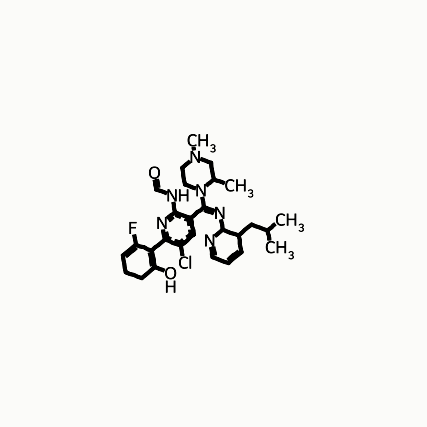 CC(C)CC1C=CC=NC1/N=C(\c1cc(Cl)c(C2=C(O)CCC=C2F)nc1NC=O)N1CCN(C)CC1C